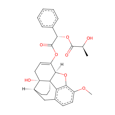 COc1ccc2c3c1O[C@@H]1C(OC(=O)[C@@H](OC(=O)[C@H](C)O)c4ccccc4)=CC[C@]4(O)[C@@H](CCC[C@@]314)C2